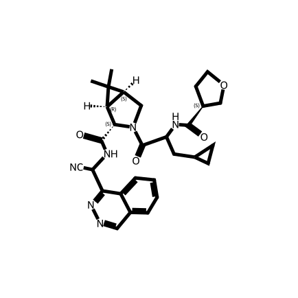 CC1(C)[C@@H]2[C@@H](C(=O)NC(C#N)c3nncc4ccccc34)N(C(=O)C(CC3CC3)NC(=O)[C@H]3CCOC3)C[C@@H]21